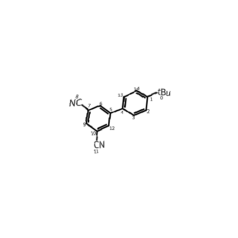 CC(C)(C)c1ccc(-c2cc(C#N)cc(C#N)c2)cc1